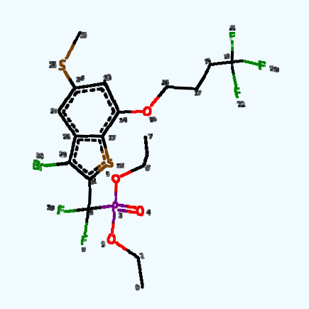 CCOP(=O)(OCC)C(F)(F)c1sc2c(OCCCC(F)(F)F)cc(SC)cc2c1Br